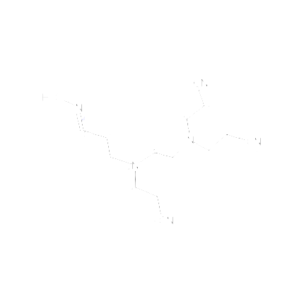 C/N=C/CCN(CCC#N)CCN(CCC#N)CCC#N